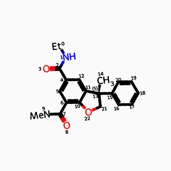 CCNC(=O)c1cc(C(=O)NC)c2c(c1)[C@](C)(c1ccccc1)CO2